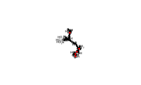 Nc1ncnc2c1c(C#CCNC(=O)CCSSCCCC(NC(=O)CCCC[C@@H]1SC[C@@H]3NC(=O)N[C@@H]31)C(=O)NC(CC(=O)O)C(=O)NC(CC(=O)O)C(=O)O)cn2C1CC(O)C(COP(=O)(O)OP(=O)(O)OP(=O)(O)O)O1